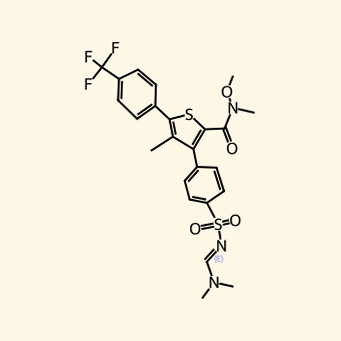 CON(C)C(=O)c1sc(-c2ccc(C(F)(F)F)cc2)c(C)c1-c1ccc(S(=O)(=O)/N=C/N(C)C)cc1